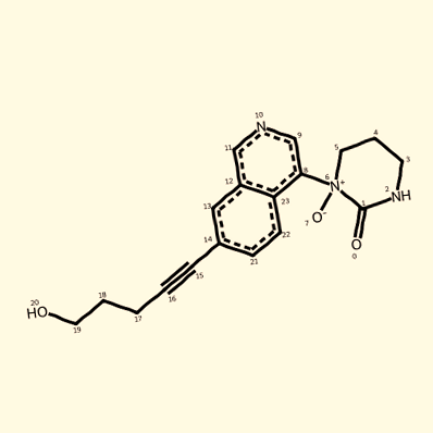 O=C1NCCC[N+]1([O-])c1cncc2cc(C#CCCCO)ccc12